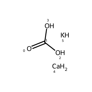 O=C(O)O.[CaH2].[KH]